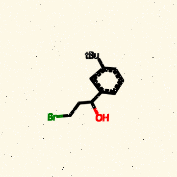 CC(C)(C)c1cccc(C(O)CCBr)c1